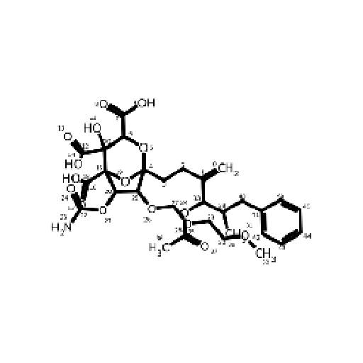 C=C(CCC12OC(C(=O)O)C(O)(C(=O)O)C(C(=O)O)(O1)C(OC(N)=O)C2OCOCCOC)C(OC(C)=O)C(C)Cc1ccccc1